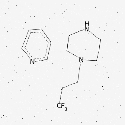 FC(F)(F)CCN1CCNCC1.c1ccncc1